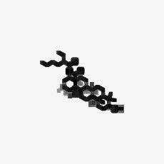 CCCCC(CC)C(=O)OC(=O)[C@]12CC[C@@H](C)[C@H](C)[C@H]1C1=CC[C@@H]3[C@@]4(C)CC[C@H](O)C(C)(C)C4CC[C@@]3(C)[C@]1(C)CC2